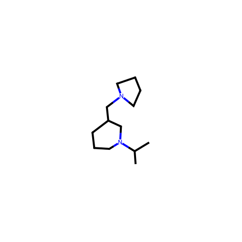 CC(C)N1CCCC(CN2CCCC2)C1